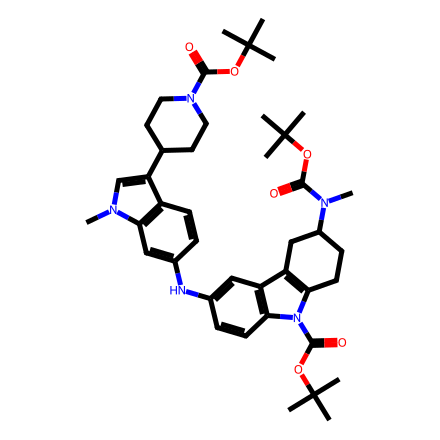 CN(C(=O)OC(C)(C)C)C1CCc2c(c3cc(Nc4ccc5c(C6CCN(C(=O)OC(C)(C)C)CC6)cn(C)c5c4)ccc3n2C(=O)OC(C)(C)C)C1